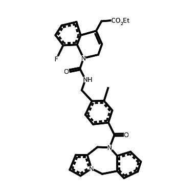 CCOC(=O)CC1=CCN(C(=O)NCc2ccc(C(=O)N3Cc4cccn4Cc4ccccc43)cc2C)c2c(F)cccc21